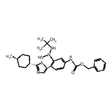 CC(C)(C)NN(O)c1cc(NC(=O)OCc2ccccc2)ccc1-c1cnc([C@H]2CC[C@H](C)CC2)s1